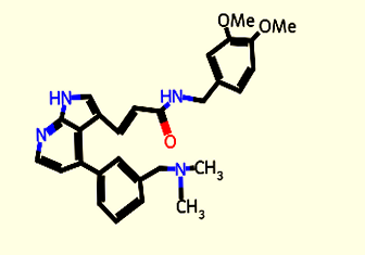 COc1ccc(CNC(=O)/C=C/c2c[nH]c3nccc(-c4cccc(CN(C)C)c4)c23)cc1OC